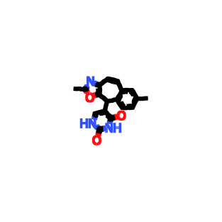 Cc1ccc2c(c1)C=Cc1nc(C)oc1C2c1c[nH]c(=O)[nH]c1=O